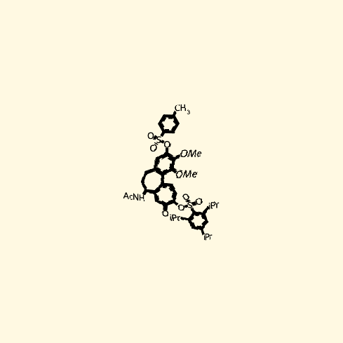 COc1c(OS(=O)(=O)c2ccc(C)cc2)cc2c(c1OC)-c1ccc(OS(=O)(=O)c3c(C(C)C)cc(C(C)C)cc3C(C)C)c(=O)cc1C(NC(C)=O)CC2